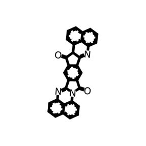 O=C1c2cc3c(cc2C2=Nc4cccc5cccc(c45)C12)C(=O)N1C3=Nc2cccc3cccc1c23